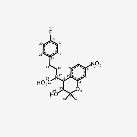 CC1(C)Oc2cc([N+](=O)[O-])ccc2C(N(CCc2ccc(F)cc2)C(=O)O)C1O